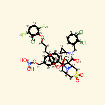 CC1(C(=O)N(Cc2cccc(Cl)c2Cl)C2CC2)C(c2ccc(CCCOc3c(F)ccc(F)c3Cl)cc2)CC2CS(=O)(=O)CC1N2C(=O)Oc1cccc(CON(O)O)c1